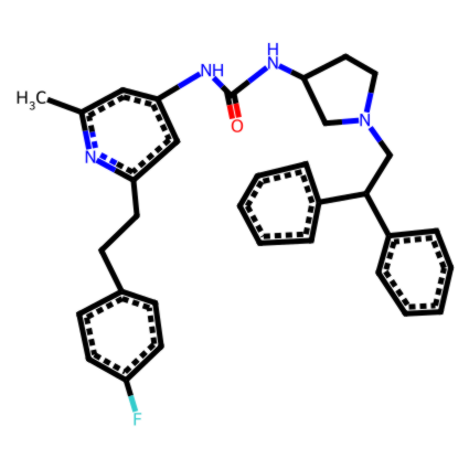 Cc1cc(NC(=O)NC2CCN(CC(c3ccccc3)c3ccccc3)C2)cc(CCc2ccc(F)cc2)n1